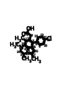 Cc1c(CC(=O)O)c(-c2ccc(Cl)cc2)c2cc(C)n3c2c1N(C)CC3C